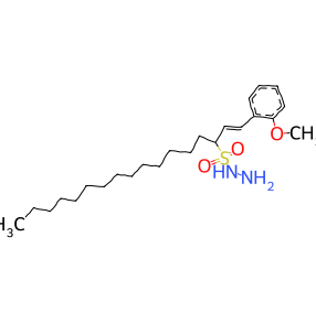 CCCCCCCCCCCCCCC(/C=C/c1ccccc1OC)S(=O)(=O)NN